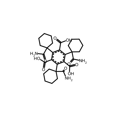 NC(=O)C1(c2c(C(=O)O)c(C3(C(N)=O)CCCCC3)c(C(=O)O)c(C3(C(N)=O)CCCCC3)c2C(=O)O)CCCCC1